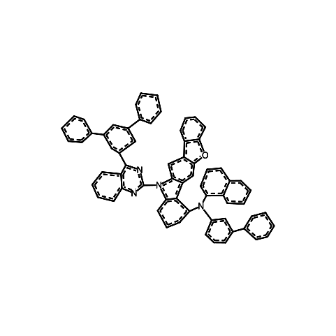 c1ccc(-c2cc(-c3ccccc3)cc(-c3nc(-n4c5cc6c(cc5c5c(N(c7cccc(-c8ccccc8)c7)c7cccc8ccccc78)cccc54)oc4ccccc46)nc4ccccc34)c2)cc1